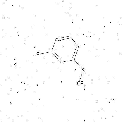 Fc1c[c]cc(SC(F)(F)F)c1